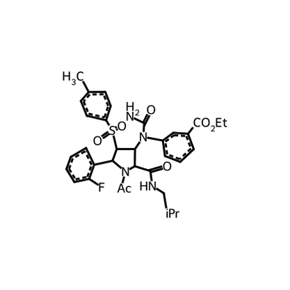 CCOC(=O)c1cccc(N(C(N)=O)C2C(C(=O)NCC(C)C)N(C(C)=O)C(c3ccccc3F)C2S(=O)(=O)c2ccc(C)cc2)c1